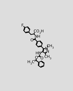 Cc1nn(C)c(-c2ccc(C(=O)NC(Cc3ccc(F)cc3)C(=O)O)cc2)c1NC(=O)O[C@H](C)c1ccccc1